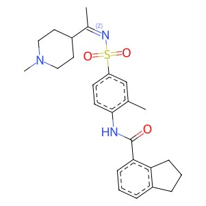 C/C(=N/S(=O)(=O)c1ccc(NC(=O)c2cccc3c2CCC3)c(C)c1)C1CCN(C)CC1